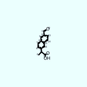 CC(C(=O)O)c1ccc2cc(C=O)ccc2c1